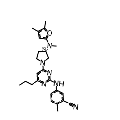 CCCc1cc(N2CC[C@H](N(C)c3cc(C)c(C)o3)C2)nc(Nc2ccc(C)c(C#N)c2)n1